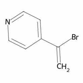 C=C(Br)c1ccncc1